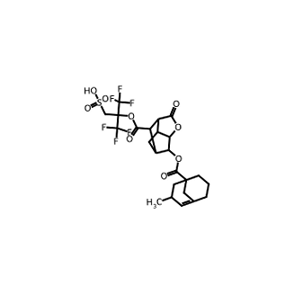 CC1C=C2CCCC(C(=O)OC3C4CC5C3OC(=O)C5C4C(=O)OC(CS(=O)(=O)O)(C(F)(F)F)C(F)(F)F)(C2)C1